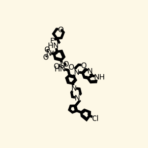 O=C(NS(=O)(=O)c1ccc(NCC2(F)CCOCC2)c([N+](=O)[O-])c1)c1ccc(N2CCN(CC3=C(c4ccc(Cl)cc4)CCC3)CC2)cc1N1CCOc2nc3[nH]ccc3cc21